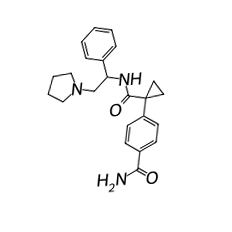 NC(=O)c1ccc(C2(C(=O)NC(CN3CCCC3)c3ccccc3)CC2)cc1